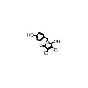 O=C1C(Cl)=C(Cl)C(O)N1Cc1ccc(O)cc1